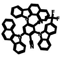 N#Cc1c(-n2c3ccccc3c3ccc4ccccc4c32)cc(-n2c3ccccc3c3ccc4ccccc4c32)c(C#N)c1-n1c2ccccc2c2ccc(C(F)(F)F)cc21